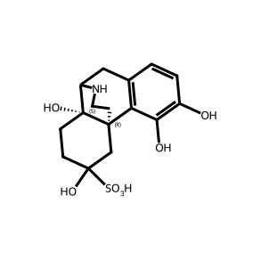 O=S(=O)(O)C1(O)CC[C@@]2(O)C3Cc4ccc(O)c(O)c4[C@@]2(CCN3)C1